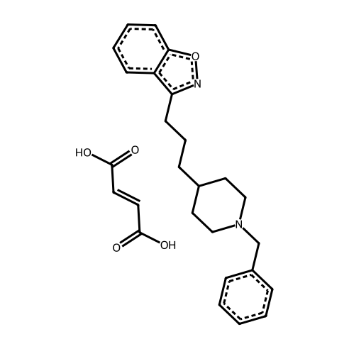 O=C(O)C=CC(=O)O.c1ccc(CN2CCC(CCCc3noc4ccccc34)CC2)cc1